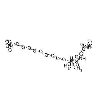 CC(C)[C@H](NC(=O)CCOCCOCCOCCOCCOCCOCCOCCOCCOCCC(=O)ON1C(=O)CCC1=O)C(=O)NCC(=O)Nc1ccc(COC(=O)NC[C@H](C)O)cc1